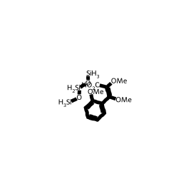 COC(C(=O)O)=C(OC)c1ccccc1OC.[SiH3]O[SiH2]O[SiH3]